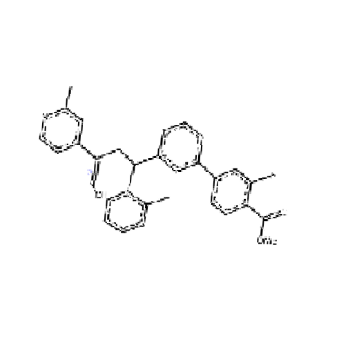 COC(=O)c1ccc(-c2cccc(C(C/C(=N\O)c3ccnc(C)c3)c3ccccc3C)c2)cc1F